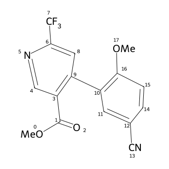 COC(=O)c1cnc(C(F)(F)F)cc1-c1cc(C#N)ccc1OC